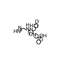 COc1ccc(CC(NC(=S)NCCc2c[nH]cn2)C(=O)N2CCC(C(=O)O)(C3CCCCC3)CC2)cc1